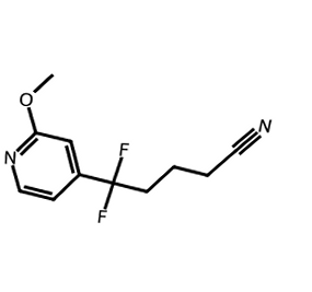 COc1cc(C(F)(F)CCCC#N)ccn1